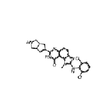 Cn1c(Nc2c(Cl)cccc2Cl)nc2ccc3nc(C4=CC5CNCC5C4)[nH]c(=O)c3c21